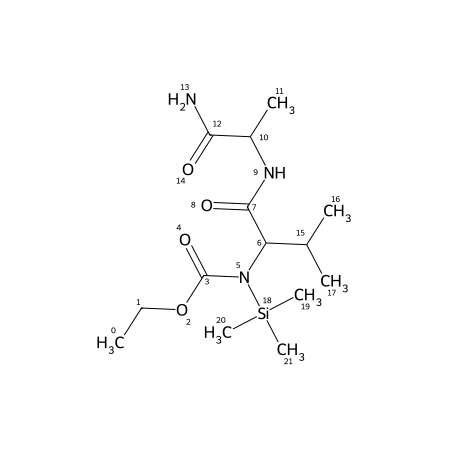 CCOC(=O)N(C(C(=O)NC(C)C(N)=O)C(C)C)[Si](C)(C)C